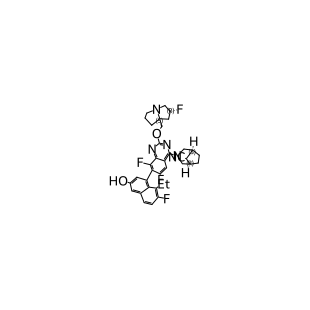 CCc1c(F)ccc2cc(O)cc(-c3c(F)cc4c(N5C[C@H]6CC[C@@H](C5)C6C#N)nc(OC[C@@]56CCCN5C[C@H](F)C6)nc4c3F)c12